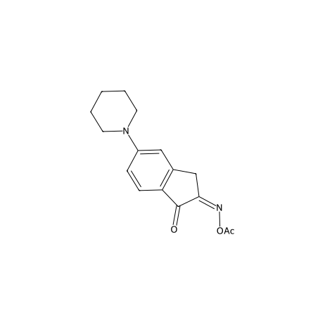 CC(=O)ON=C1Cc2cc(N3CCCCC3)ccc2C1=O